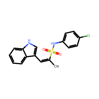 N#CC(=Cc1c[nH]c2ccccc12)S(=O)(=O)Nc1ccc(Cl)cc1